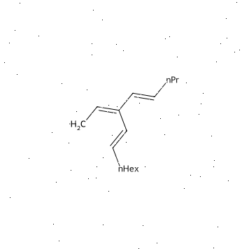 [CH2]C=C(C=CCCC)C=CCCCCCC